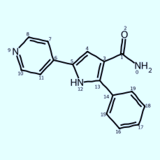 NC(=O)c1cc(-c2ccncc2)[nH]c1-c1ccccc1